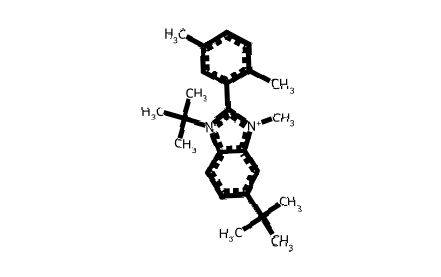 Cc1ccc(C)c(-c2n(C(C)(C)C)c3ccc(C(C)(C)C)cc3[n+]2C)c1